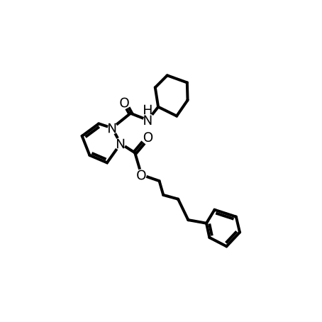 O=C(NC1CCCCC1)N1C=CC=CN1C(=O)OCCCCc1ccccc1